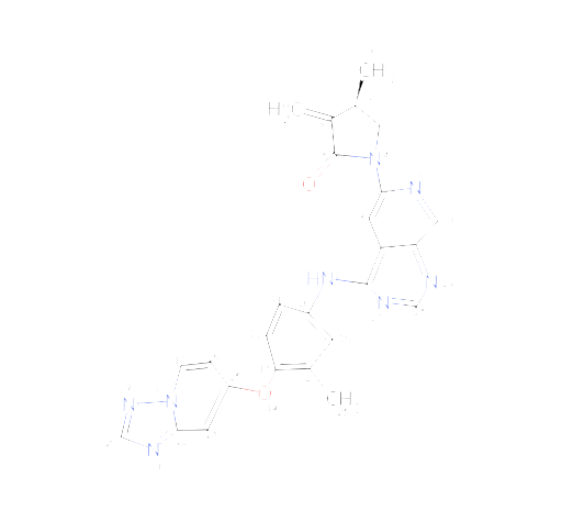 C=C1C(=O)N(c2cc3c(Nc4ccc(Oc5ccn6ncnc6c5)c(C)c4)ncnc3cn2)C[C@@H]1C